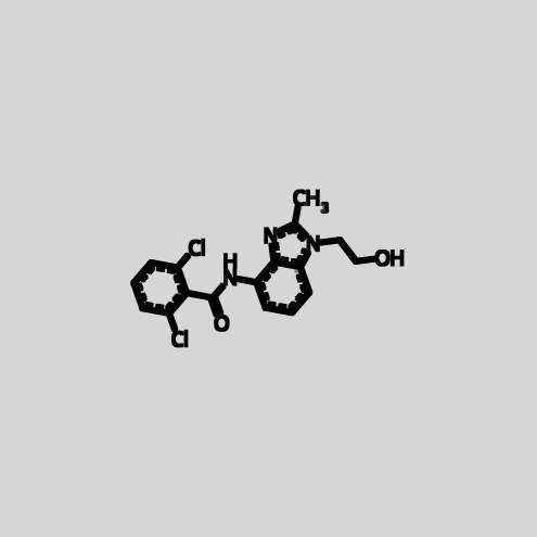 Cc1nc2c(NC(=O)c3c(Cl)cccc3Cl)cccc2n1CCO